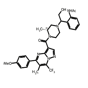 COc1ccc(-c2nc3c(C(=O)N4CCN(C(CO)c5ccccc5NC(C)=O)C[C@H]4C)cnn3c(C(F)(F)F)c2C)cc1